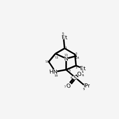 CCC1CC(CC)C2(S(=O)(=O)C(C)C)NCC1N2C